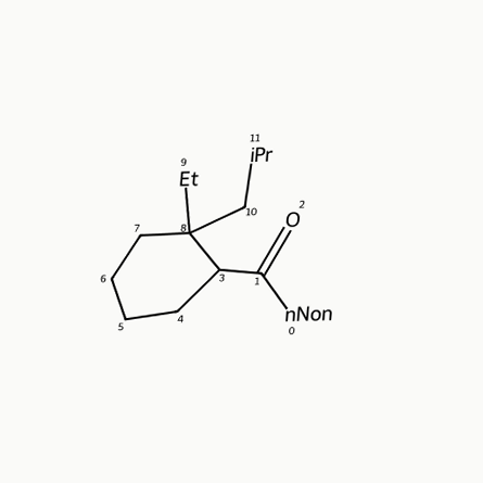 CCCCCCCCCC(=O)C1CCCCC1(CC)CC(C)C